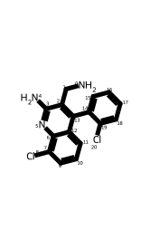 NCc1c(N)nc2c(Cl)cccc2c1-c1ccccc1Cl